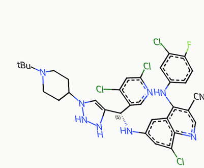 CC(C)(C)N1CCC(N2C=C([C@@H](Nc3cc(Cl)c4ncc(C#N)c(Nc5ccc(F)c(Cl)c5)c4c3)c3cnc(Cl)cc3Cl)NN2)CC1